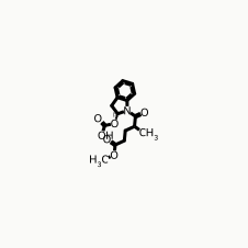 COC(=O)CCC(C)C(=O)N1c2ccccc2C[C@@H]1OC(=O)O